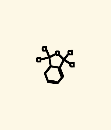 ClC1(Cl)OC(Cl)(Cl)C2CC=CC=C21